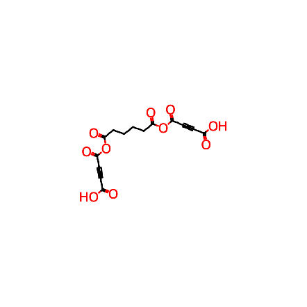 O=C(O)C#CC(=O)OC(=O)CCCCC(=O)OC(=O)C#CC(=O)O